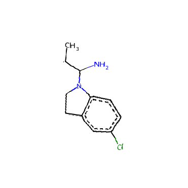 C[CH]C(N)N1CCc2cc(Cl)ccc21